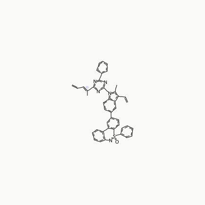 C=C/C=C(\C)c1nc(-c2ccccc2)nc(-n2c(C)c(C=C)c3cc(-c4ccc5c(c4)-c4ccccc4N=S5(=O)c4ccccc4)ccc32)n1